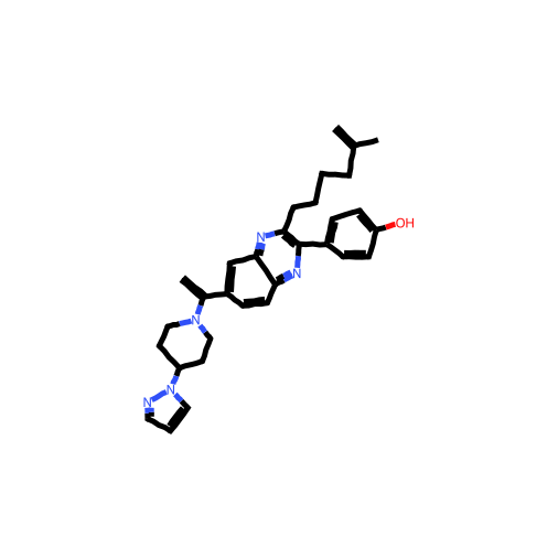 C=C(C)CCCCc1nc2cc(C(=C)N3CCC(n4cccn4)CC3)ccc2nc1-c1ccc(O)cc1